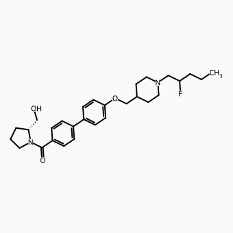 CCCC(F)CN1CCC(COc2ccc(-c3ccc(C(=O)N4CCC[C@@H]4CO)cc3)cc2)CC1